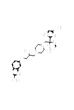 Cc1c[nH]c(C2(CN3CCN(CC(O)COc4ccc5sc(C)nc5c4)CC3)N=CON2)n1